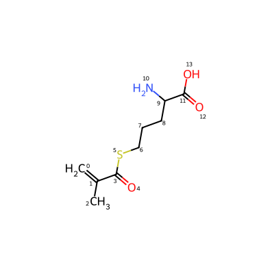 C=C(C)C(=O)SCCCC(N)C(=O)O